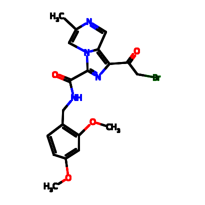 COc1ccc(CNC(=O)c2nc(C(=O)CBr)c3cnc(C)cn23)c(OC)c1